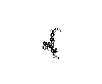 CCOC(=O)C1CCN(c2ccc(-c3nc4nc(-c5cnc(OCC)c(C(F)(F)F)c5)cc(N(C)CC5(COC)CCCC5)c4[nH]3)c(F)c2)CC1